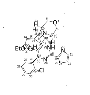 CCOC(=O)C1=C(CN2[C@@H]3COC[C@H]2C2(F)C[C@@H](CC(=O)O)[C@@H]32)NC(c2nccs2)=N[C@H]1c1ccccc1Cl